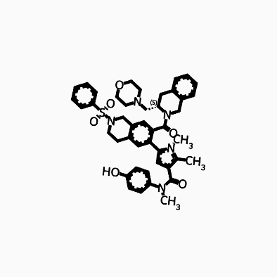 Cc1c(C(=O)N(C)c2ccc(O)cc2)cc(-c2cc3c(cc2C(=O)N2Cc4ccccc4C[C@H]2CN2CCOCC2)CN(S(=O)(=O)c2ccccc2)CC3)n1C